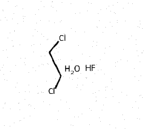 ClCCCl.F.O